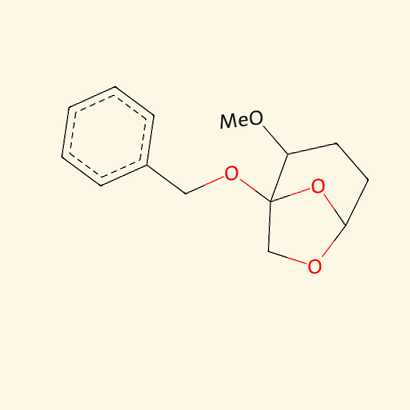 COC1CCC2OCC1(OCc1ccccc1)O2